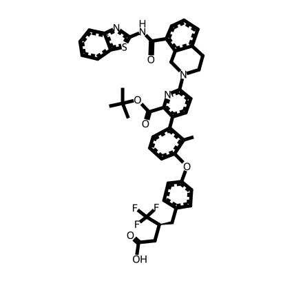 Cc1c(Oc2ccc(C[C@@H](CC(=O)O)C(F)(F)F)cc2)cccc1-c1ccc(N2CCc3cccc(C(=O)Nc4nc5ccccc5s4)c3C2)nc1C(=O)OC(C)(C)C